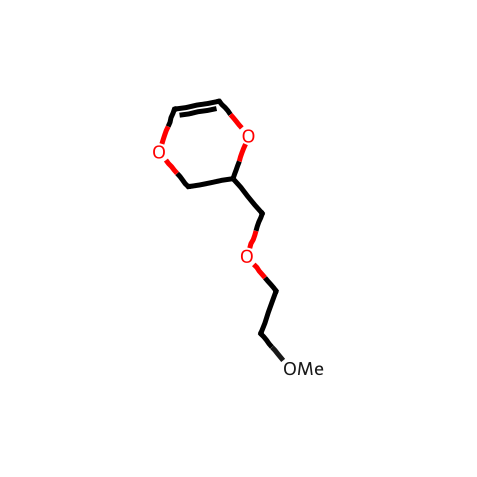 COCCOCC1COC=CO1